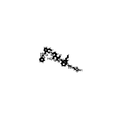 CCCC1(C)CC2(Cn3ncc(-c4ccc(N5CCc6cccc(C(=O)Nc7nc8ccccc8s7)c6C5)nc4C(=O)O)c3C)CCCC(OCCNCCS(=O)(=O)O)(C1)C2